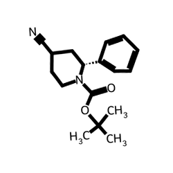 CC(C)(C)OC(=O)N1CCC(C#N)C[C@@H]1c1ccccc1